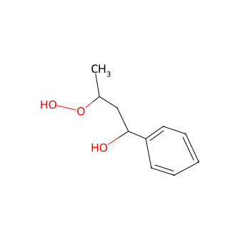 CC(CC(O)c1ccccc1)OO